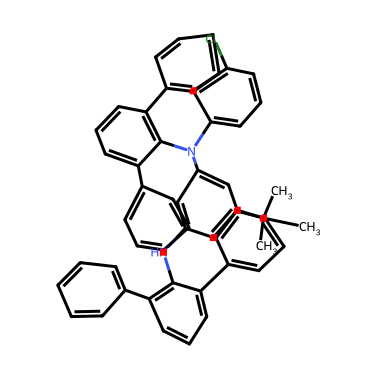 CC(C)(C)c1cc(Nc2c(-c3ccccc3)cccc2-c2ccccc2)cc(N(c2cccc(Cl)c2)c2c(-c3ccccc3)cccc2-c2ccccc2)c1